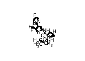 CC(C)(C)OC(=O)N1[C@@H](C(=O)Nc2cc(-c3ncc(F)cn3)c(C(F)(F)F)cn2)C[C@H]2C[C@H]21